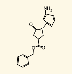 Nc1cccc(N2CC(C(=O)OCc3ccccc3)CC2=O)c1